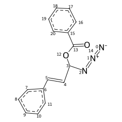 [N-]=[N+]=NC(C=Cc1ccccc1)OC(=O)c1ccccc1